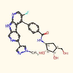 Cn1cc(-c2cc3c(cn2)[nH]c2ncc(F)c(-c4ccc(C(=O)N[C@H]5C[C@@H](CO)[C@H](O)[C@@H]5O)cc4)c23)cn1